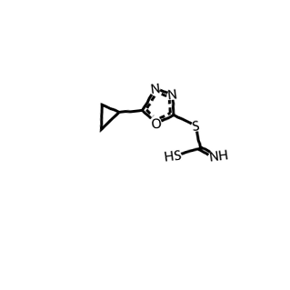 N=C(S)Sc1nnc(C2CC2)o1